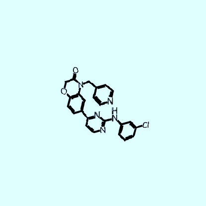 O=C1COc2ccc(-c3ccnc(Nc4cccc(Cl)c4)n3)cc2N1Cc1ccncc1